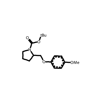 COc1ccc(OCC2CCCN2C(=O)OC(C)(C)C)cc1